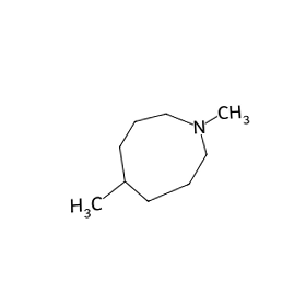 CC1CCCN(C)CCC1